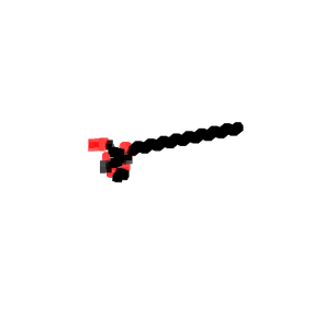 CCCCCCCCCCCCCCCCCCO[C@@H]1[C@H]2OC(C)(C)O[C@H]2O[C@@H]1CO